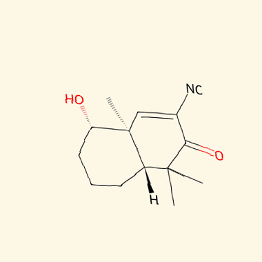 [C-]#[N+]C1=C[C@]2(C)[C@@H](O)CCC[C@H]2C(C)(C)C1=O